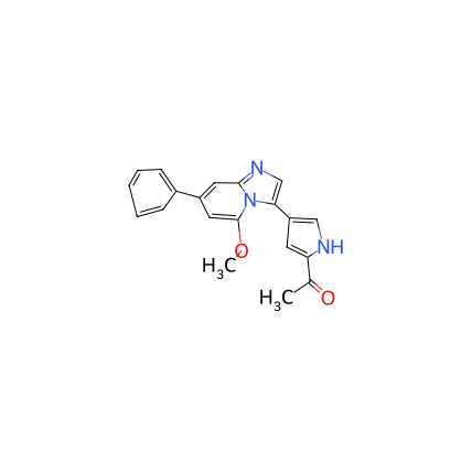 COc1cc(-c2ccccc2)cc2ncc(-c3c[nH]c(C(C)=O)c3)n12